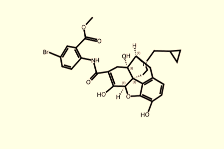 COC(=O)c1cc(Br)ccc1NC(=O)C1=C(O)[C@@H]2Oc3c(O)ccc4c3[C@@]23CCN(CC2CC2)[C@H](C4)[C@]3(O)C1